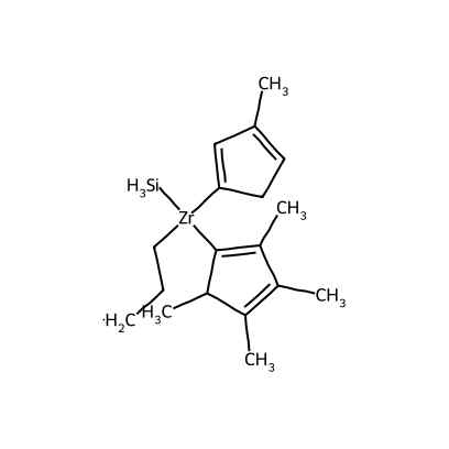 [CH2]C[CH2][Zr]([SiH3])([C]1=CC(C)=CC1)[C]1=C(C)C(C)=C(C)C1C